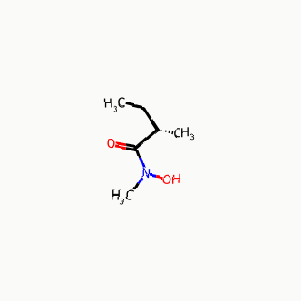 CC[C@H](C)C(=O)N(C)O